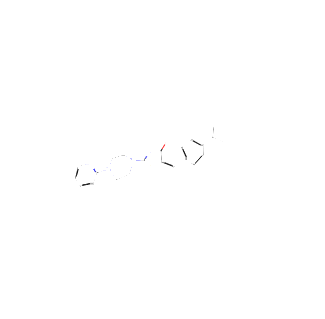 CC(C)c1ccc(C=C2SC(N3CCN(c4ncccc4Cl)CC3)=NC2=O)cc1